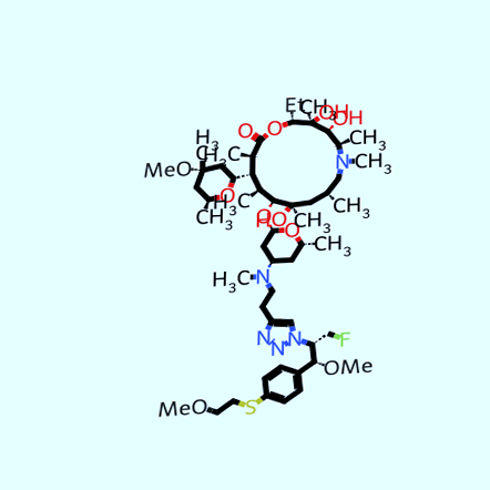 CC[C@H]1OC(=O)[C@H](C)[C@@H](C2C[C@@](C)(OC)C[C@H](C)O2)[C@H](C)[C@@H](O[C@H]2C[C@@H](N(C)CCc3cn([C@H](CF)[C@H](OC)c4ccc(SCCOC)cc4)nn3)C[C@@H](C)O2)[C@](C)(O)C[C@@H](C)CN(C)[C@H](C)[C@@H](O)[C@]1(C)O